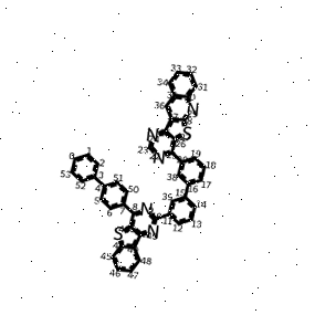 c1ccc(-c2ccc(-c3nc(-c4cccc(-c5cccc(-c6ncnc7c6sc6nc8ccccc8cc67)c5)c4)nc4c3sc3ccccc34)cc2)cc1